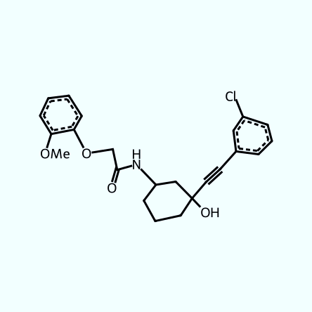 COc1ccccc1OCC(=O)NC1CCCC(O)(C#Cc2cccc(Cl)c2)C1